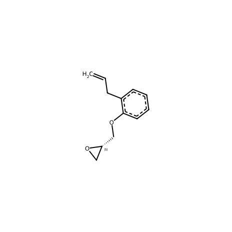 C=CCc1ccccc1OC[C@@H]1CO1